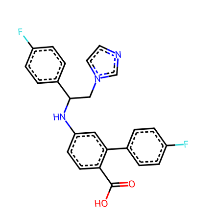 O=C(O)c1ccc(NC(Cn2ccnc2)c2ccc(F)cc2)cc1-c1ccc(F)cc1